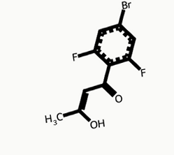 C/C(O)=C/C(=O)c1c(F)cc(Br)cc1F